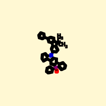 CC1(C)c2ccc(-c3ccccc3)cc2-c2cc(-n3c4ccccc4c4cc5c(cc43)-c3ccccc3P5(=O)c3ccccc3)ccc21